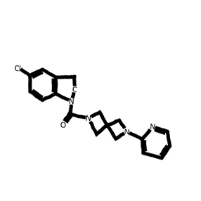 O=C(N1CC2(C1)CN(c1ccccn1)C2)N1CCc2cc(Cl)ccc21